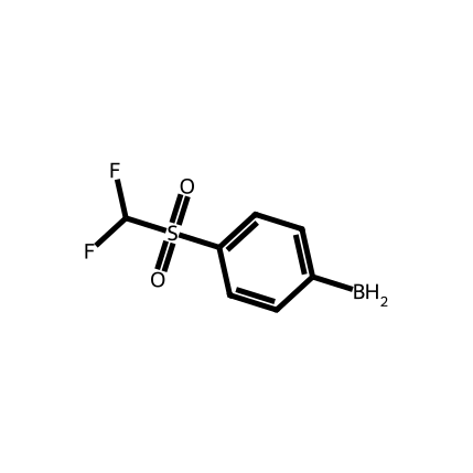 Bc1ccc(S(=O)(=O)C(F)F)cc1